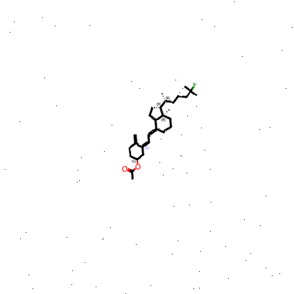 C=C1CC[C@H](OC(C)=O)C/C1=C/C=C1CCC[C@@]2(C)C1CC[C@@H]2[C@H](C)CCCC(C)(C)F